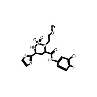 CC(C)OCCN1C(C(=O)Nc2ccc(F)c(Cl)c2)CC(c2nccs2)NS1(=O)=O